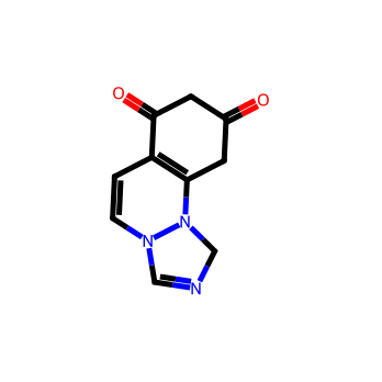 O=C1CC(=O)C2=C(C1)N1CN=CN1C=C2